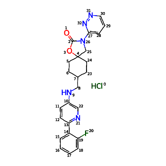 Cl.O=C1OC2(CCC(CNc3ccc(-c4ccccc4F)nc3)CC2)CN1c1cccnn1